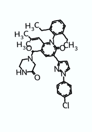 CCc1cccc(CC)c1-n1c(C=C(C)C)c(C(=O)N2CCNC(=O)C2)cc(-c2ccn(-c3ccc(Cl)cc3)n2)c1=O